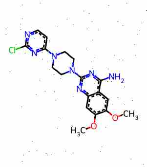 COc1cc2nc(N3CCN(c4ccnc(Cl)n4)CC3)nc(N)c2cc1OC